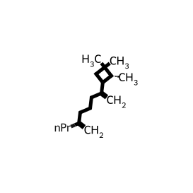 C=C(CCC)CCCC(=C)C1CC(C)(C)[C@@H]1C